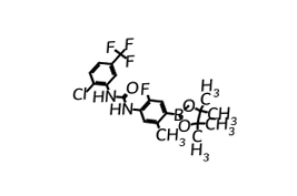 Cc1cc(NC(=O)Nc2cc(C(F)(F)F)ccc2Cl)c(F)cc1B1OC(C)(C)C(C)(C)O1